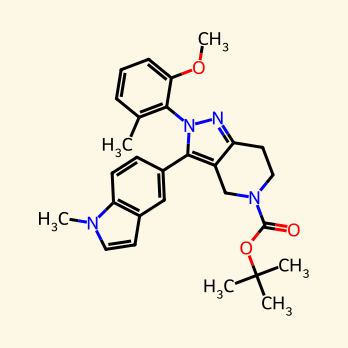 COc1cccc(C)c1-n1nc2c(c1-c1ccc3c(ccn3C)c1)CN(C(=O)OC(C)(C)C)CC2